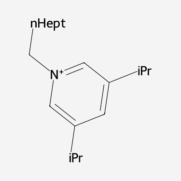 CCCCCCCC[n+]1cc(C(C)C)cc(C(C)C)c1